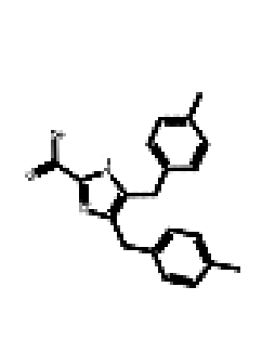 Cc1ccc(Cc2nc(C(=O)O)[nH]c2Cc2ccc(C)cc2)cc1